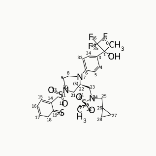 CC(O)(c1ccc(N2CCN(S(=O)(=O)C3=CC=CCC3=S)C[C@@H]2CN(CC2CC2)S(C)(=O)=O)cc1)C(F)(F)F